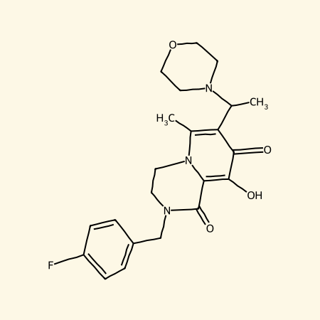 Cc1c(C(C)N2CCOCC2)c(=O)c(O)c2n1CCN(Cc1ccc(F)cc1)C2=O